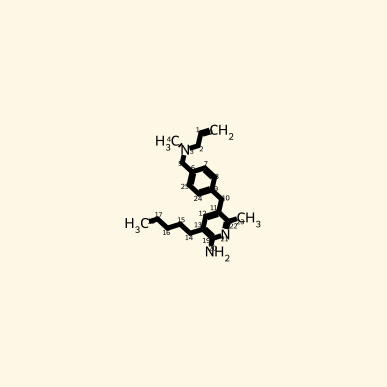 C=CCN(C)Cc1ccc(Cc2cc(CCCCC)c(N)nc2C)cc1